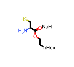 CCCCCCCCOC(=O)[C@@H](N)CS.[NaH]